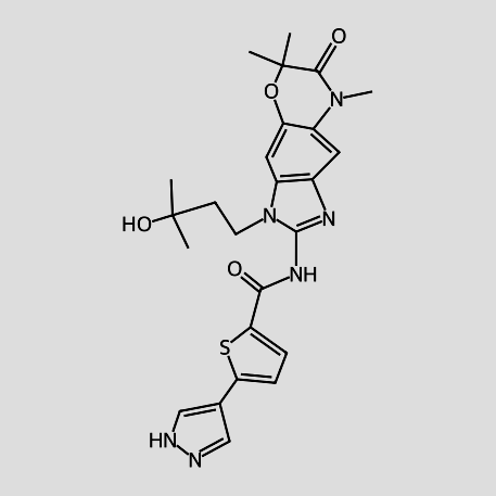 CN1C(=O)C(C)(C)Oc2cc3c(cc21)nc(NC(=O)c1ccc(-c2cn[nH]c2)s1)n3CCC(C)(C)O